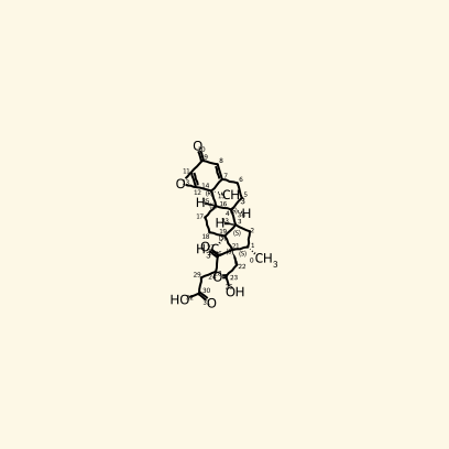 C[C@H]1C[C@H]2[C@@H]3CCC4=CC(=O)C5=C(O5)[C@]4(C)[C@H]3CC[C@]2(C)[C@@]1(CC(=O)O)C(=O)CCC(=O)O